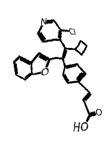 O=C(O)C=Cc1ccc(C(=C(c2ccncc2Cl)C2CCC2)c2cc3ccccc3o2)cc1